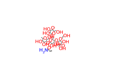 C=CC(N)=O.COC1C(CO)OC(OCC2OC(OC3C(CO)OC(C)C(O)C3O)C(O)C(O)C2OC2OC(CO)C(OC)C(O)C2OCCO)C(O)C1O